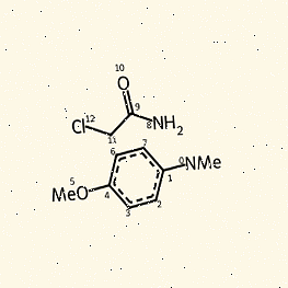 CNc1ccc(OC)cc1.NC(=O)CCl